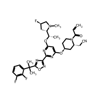 C=CC(=O)N1CC[C@H](Oc2cc(O[C@@H](C)[C@@H]3C[C@@H](F)CN3C)nc(-c3noc(C(C)(C)c4cccc(F)c4F)n3)n2)C[C@H]1CC#N